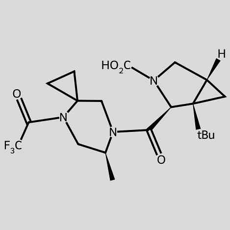 C[C@H]1CN(C(=O)C(F)(F)F)C2(CC2)CN1C(=O)[C@H]1N(C(=O)O)C[C@@H]2C[C@@]21C(C)(C)C